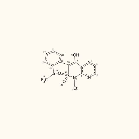 CCN1c2nccnc2C(O)=C(c2ccccc2SC(F)(F)F)S1(=O)=O